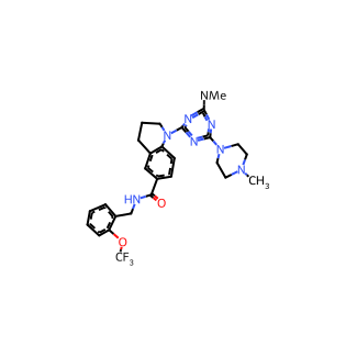 CNc1nc(N2CCN(C)CC2)nc(N2CCCc3cc(C(=O)NCc4ccccc4OC(F)(F)F)ccc32)n1